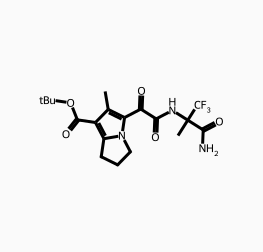 Cc1c(C(=O)OC(C)(C)C)c2n(c1C(=O)C(=O)NC(C)(C(N)=O)C(F)(F)F)CCC2